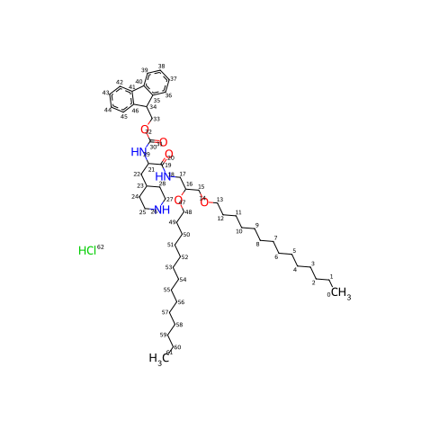 CCCCCCCCCCCCCCOCC(CNC(=O)C(CC1CCNCC1)NC(=O)OCC1c2ccccc2-c2ccccc21)OCCCCCCCCCCCCCC.Cl